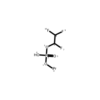 CC(C)OP(=O)(O)OC(F)C(F)F